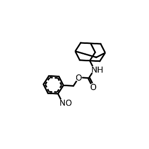 O=Nc1ccccc1COC(=O)NC12CC3CC(CC(C3)C1)C2